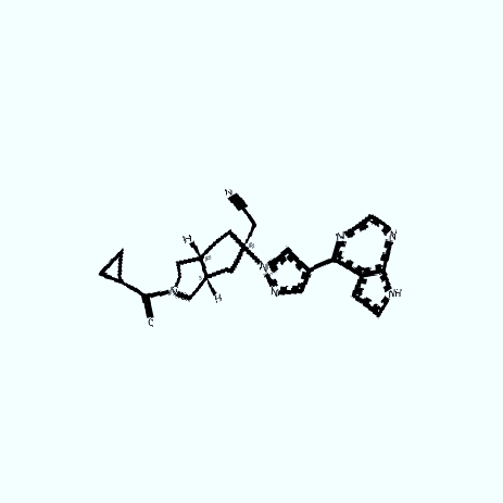 N#CC[C@]1(n2cc(-c3ncnc4[nH]ccc34)cn2)C[C@H]2CN(C(=O)C3CC3)C[C@H]2C1